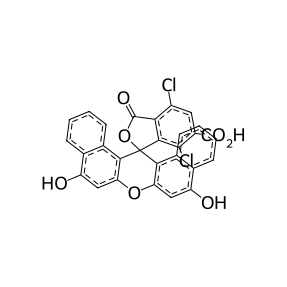 O=C(O)c1cc(Cl)c2c(c1Cl)C1(OC2=O)c2c(cc(O)c3ccccc23)Oc2cc(O)c3ccccc3c21